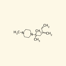 C=CC(=C)CS(C)(C)N1CCN(C)CC1